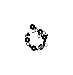 Cc1cc(C=CC(=O)N2CCN(Cc3ccc(CCOc4ccc(OC(C)C)cc4)cc3)CC2)cc(Cl)c1Oc1ccc(OCc2ccccc2Cl)cn1